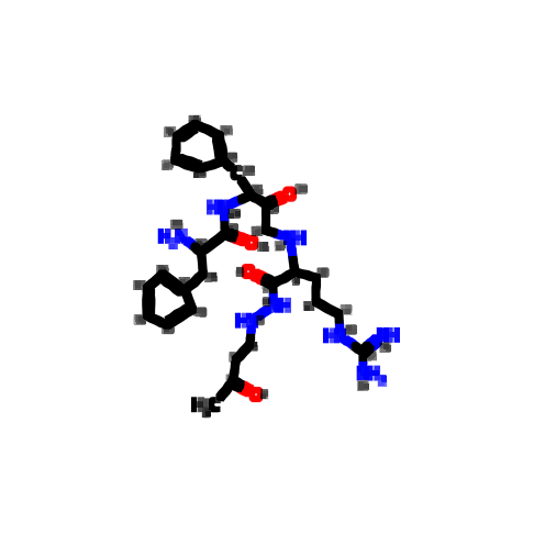 CC(=O)CCNNC(=O)C(CCCNC(=N)N)NCC(=O)C(Cc1ccccc1)NC(=O)C(N)Cc1ccccc1